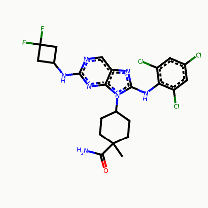 CC1(C(N)=O)CCC(n2c(Nc3c(Cl)cc(Cl)cc3Cl)nc3cnc(NC4CC(F)(F)C4)nc32)CC1